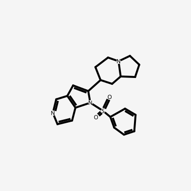 O=S(=O)(c1ccccc1)n1c(C2CCN3CCCC3C2)cc2cnccc21